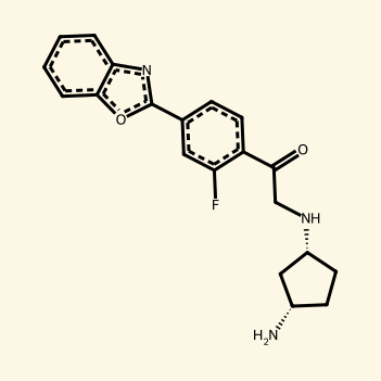 N[C@H]1CC[C@@H](NCC(=O)c2ccc(-c3nc4ccccc4o3)cc2F)C1